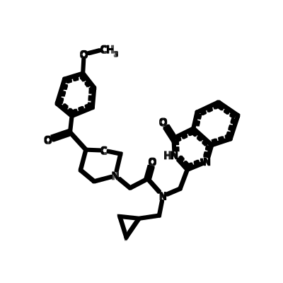 COc1ccc(C(=O)C2CCN(CC(=O)N(Cc3nc4ccccc4c(=O)[nH]3)CC3CC3)CC2)cc1